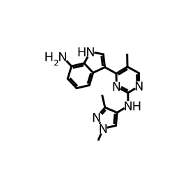 Cc1cnc(Nc2cn(C)nc2C)nc1-c1c[nH]c2c(N)cccc12